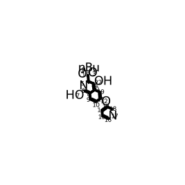 CCCCOC(=O)c1nc(O)c2ccc(Oc3cccnc3)cc2c1O